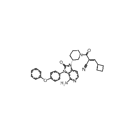 N#CC(=CC1CCC1)C(=O)N1CCC[C@@H](n2c(=O)n(-c3ccc(Oc4ccccc4)cc3)c3c(N)nccc32)C1